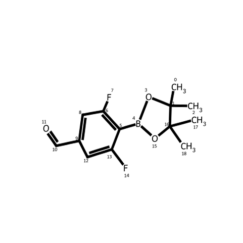 CC1(C)OB(c2c(F)cc(C=O)cc2F)OC1(C)C